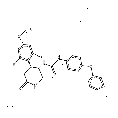 COc1cc(F)c([C@@H]2CC(=O)NC[C@H]2NC(=O)Nc2ccc(Oc3ccccc3)cc2)c(F)c1